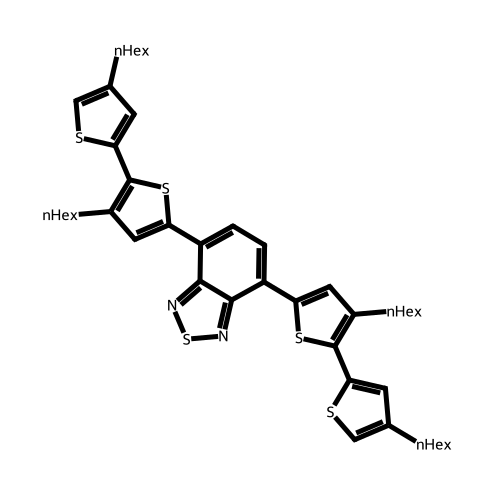 CCCCCCc1csc(-c2sc(-c3ccc(-c4cc(CCCCCC)c(-c5cc(CCCCCC)cs5)s4)c4nsnc34)cc2CCCCCC)c1